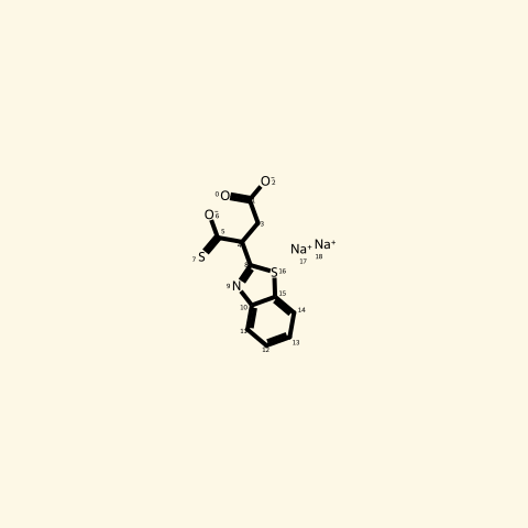 O=C([O-])CC(C([O-])=S)c1nc2ccccc2s1.[Na+].[Na+]